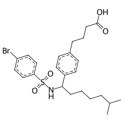 CC(C)CCCCC(NS(=O)(=O)c1ccc(Br)cc1)c1ccc(CCCC(=O)O)cc1